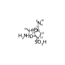 C=C(CCC)C(N)=O.CN(C)C.Cc1ccc(S(=O)(=O)O)cc1